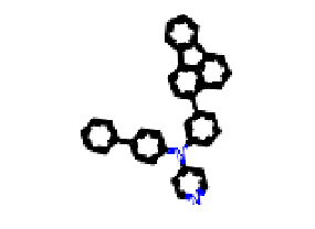 c1ccc(-c2ccc(N(c3ccncc3)c3cccc(-c4ccc5c6c(cccc46)-c4ccccc4-5)c3)cc2)cc1